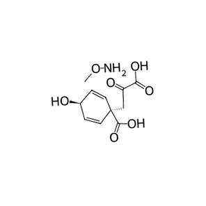 CON.O=C(O)C(=O)C[C@]1(C(=O)O)C=C[C@@H](O)C=C1